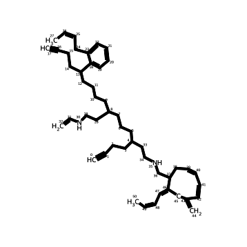 C#CCCC(CCCC(CCCCC(CCC#C)c1ccccc1C/C=C\C)CCNC=C)CCNCC1C/C=C\C=C/C(=C)C/C1=C\C=C/C